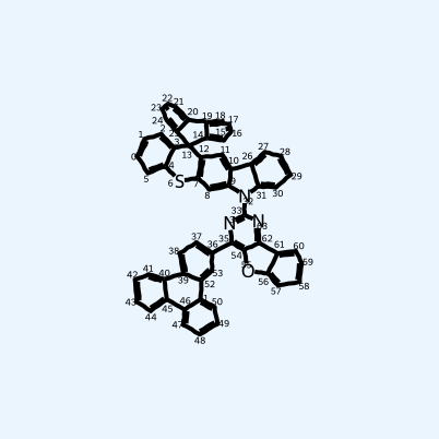 c1ccc2c(c1)Sc1cc3c(cc1C21c2ccccc2-c2ccccc21)c1ccccc1n3-c1nc(-c2ccc3c4ccccc4c4ccccc4c3c2)c2oc3ccccc3c2n1